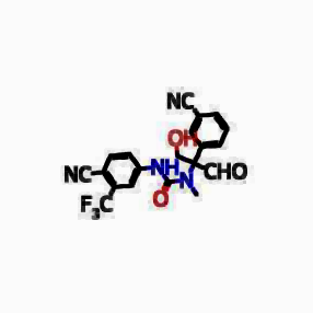 CN(C(=O)Nc1ccc(C#N)c(C(F)(F)F)c1)C(C=O)(CO)c1cccc(C#N)c1